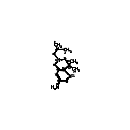 C[C](C)CN1Cc2cc(N)cnc2C(C)(C)C1